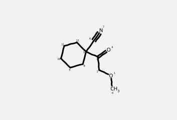 COCC(=O)C1(C#N)CCCCC1